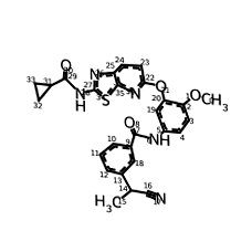 COc1ccc(NC(=O)c2cccc(C(C)C#N)c2)cc1Oc1ccc2nc(NC(=O)C3CC3)sc2n1